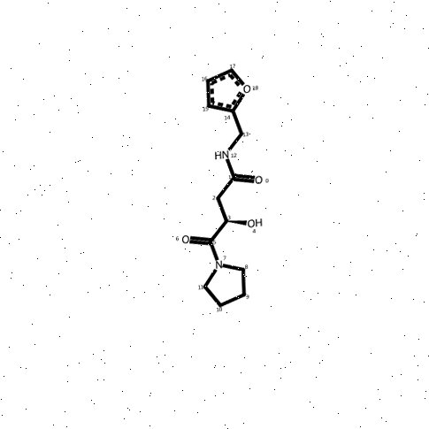 O=C(C[C@@H](O)C(=O)N1CCCC1)NCc1ccco1